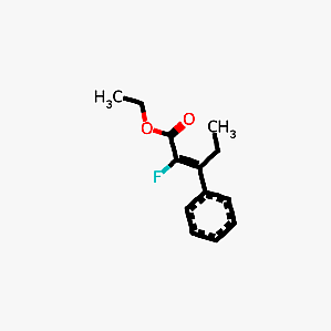 CCOC(=O)C(F)=C(CC)c1ccccc1